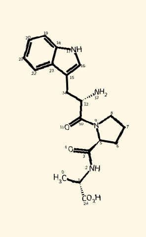 C[C@H](NC(=O)[C@@H]1CCCN1C(=O)[C@@H](N)Cc1c[nH]c2ccccc12)C(=O)O